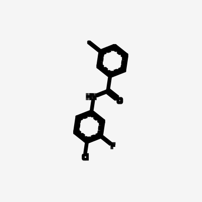 Cc1cccc(C(=O)Nc2ccc(Cl)c(F)c2)c1